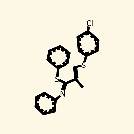 CC(=C\Sc1ccc(Cl)cc1)/C(=N/c1ccccc1)Sc1ccccc1